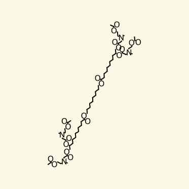 CC(=O)OCCN(C)CC(=O)OCC(CCCCCCCCC(=O)OCCCCCCCCCCOC(=O)CCCCCCCCC(COC(=O)CN(C)CCOC(C)=O)OC(=O)CN(C)CCOC(C)=O)OC(=O)CN(C)CCOC(C)=O